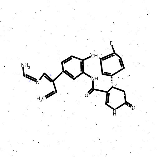 C=C/C(=C\N=C/N)c1ccc(C)c(NC(=O)C2=CNC(=O)C[C@H]2c2ccc(F)cc2)c1